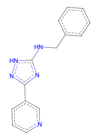 c1ccc(CNc2nc(-c3cccnc3)n[nH]2)cc1